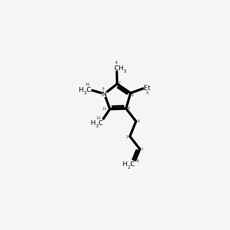 C=CCCc1c(CC)c(C)n(C)c1C